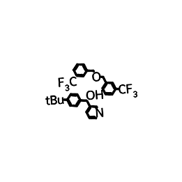 CC(C)(C)c1ccc(C(O)c2cccnc2)cc1.FC(F)(F)c1cccc(COCc2cccc(C(F)(F)F)c2)c1